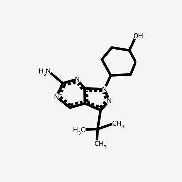 CC(C)(C)c1nn(C2CCC(O)CC2)c2nc(N)ncc12